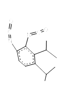 CC(C)c1ccc(N=C=O)c(N=C=O)c1C(C)C